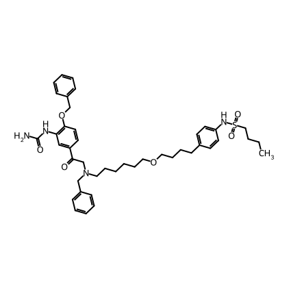 CCCCS(=O)(=O)Nc1ccc(CCCCOCCCCCCN(CC(=O)c2ccc(OCc3ccccc3)c(NC(N)=O)c2)Cc2ccccc2)cc1